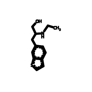 CCNC(CO)Cc1ccc2ccsc2c1